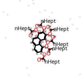 CCCCCCCC(=O)Oc1ccc2ccc3c(OC(=O)CCCCCCC)c(OC(=O)CCCCCCC)c(OC(=O)CCCCCCC)c(OC(=O)CCCCCCC)c3c2c1OC(=O)CCCCCCC